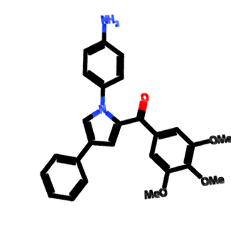 COc1cc(C(=O)c2cc(-c3ccccc3)cn2-c2ccc(N)cc2)cc(OC)c1OC